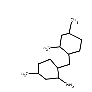 CC1CCC(CC2CCC(C)CC2N)C(N)C1